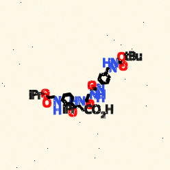 CC(C)OC(=O)CNc1cccc(C(=O)[C@H](CC(=O)O)NC(=O)CNC(=O)Nc2ccc(C=NNC(=O)OC(C)(C)C)cc2)c1C(C)C